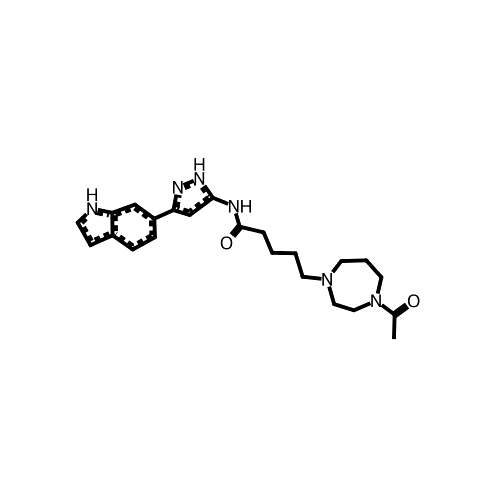 CC(=O)N1CCCN(CCCCC(=O)Nc2cc(-c3ccc4cc[nH]c4c3)n[nH]2)CC1